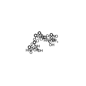 CCOc1c(COc2cc(OCc3cccc(-c4cccc(COc5cc(OCc6cccc7c6OCC(=O)N7)c(CNC(CCO)C(=O)O)cc5Cl)c4C)c3C)c(Cl)cc2CNC(CCO)C(=O)O)cccc1NC=O